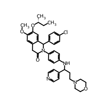 CC[C@@H](C)Oc1cc2c(cc1OC)CC(=O)N(c1ccc(NC(CCN3CCOCC3)c3ccncc3)cc1)C2c1ccc(Cl)cc1